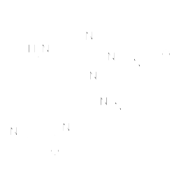 Nc1ccnc(-c2nc(N3CCOCC3)c3cnn(C4CCN(C(=O)c5cccnc5)CC4)c3n2)c1